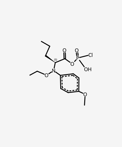 CCC[C@@H](C(=O)OP(=O)(O)Cl)N(OCC)c1ccc(OC)cc1